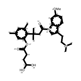 COc1ccc2c(CCN(C)C)cn(C(=O)CC(C)(C)c3c(C)cc(C)cc3OC(=O)CCC(O)O)c2c1